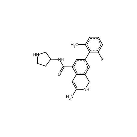 Cc1cccc(F)c1-c1cc2c(c(C(=O)NC3CCNC3)c1)C=C(N)NC2